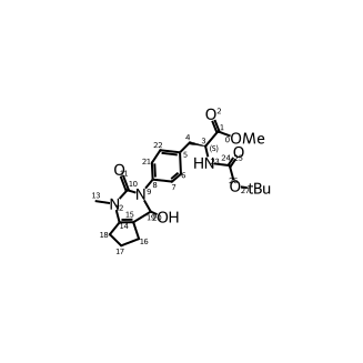 COC(=O)[C@H](Cc1ccc(N2C(=O)N(C)C3=C(CCC3)C2O)cc1)NC(=O)OC(C)(C)C